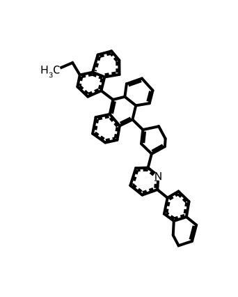 CCc1ccc(C2=c3ccccc3=C(C3=CC(c4cccc(-c5ccc6c(c5)CCC=C6)n4)=CCC3)C3C=CC=CC23)c2ccccc12